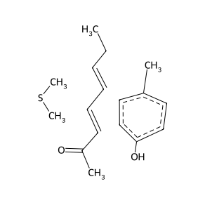 CCC=CC=CC(C)=O.CSC.Cc1ccc(O)cc1